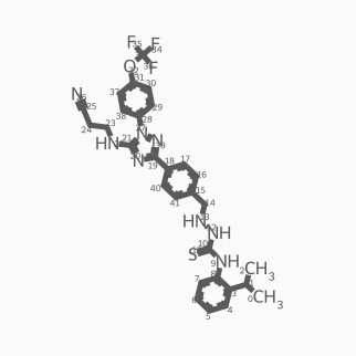 CC(C)c1ccccc1NC(=S)NNCc1ccc(-c2nc(NCCC#N)n(-c3ccc(OC(F)(F)F)cc3)n2)cc1